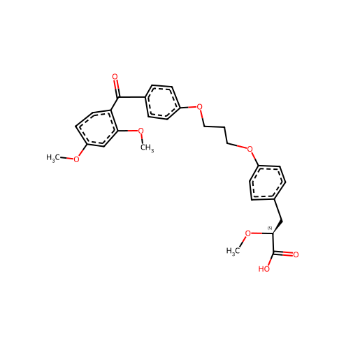 COc1ccc(C(=O)c2ccc(OCCCOc3ccc(C[C@H](OC)C(=O)O)cc3)cc2)c(OC)c1